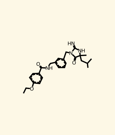 CCOc1ccc(C(=O)NCc2cccc(CN3C(=N)NC(C)(CC(C)C)C3=O)c2)cc1